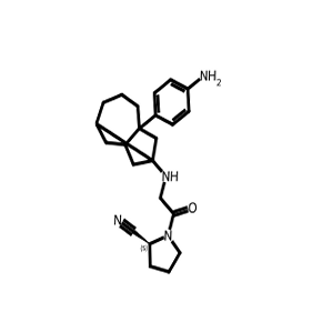 N#C[C@@H]1CCCN1C(=O)CNC12CC3CC1CCCC3(c1ccc(N)cc1)C2